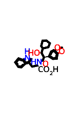 O=C(O)[C@H](Cc1c[nH]c2ccccc12)NC(=O)[C@H](c1ccc2c(c1)OCO2)[C@H](O)C1CCCCC1